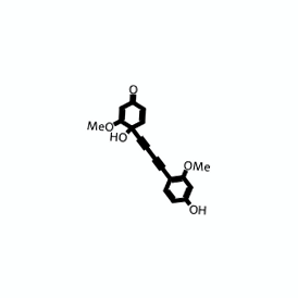 COC1=CC(=O)C=CC1(O)C#CC#Cc1ccc(O)cc1OC